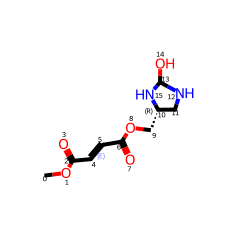 COC(=O)/C=C/C(=O)OC[C@H]1CNC(O)N1